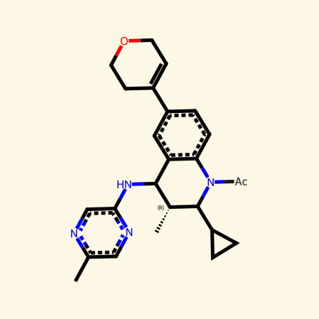 CC(=O)N1c2ccc(C3=CCOCC3)cc2C(Nc2cnc(C)cn2)[C@@H](C)C1C1CC1